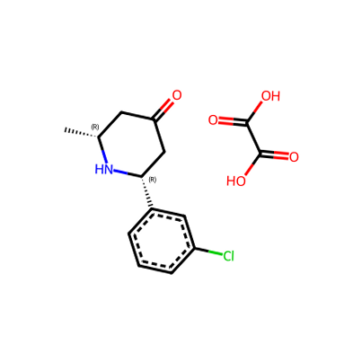 C[C@@H]1CC(=O)C[C@H](c2cccc(Cl)c2)N1.O=C(O)C(=O)O